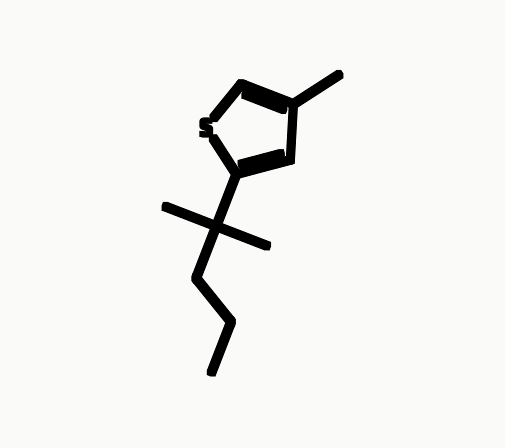 CCCC(C)(C)c1cc(C)cs1